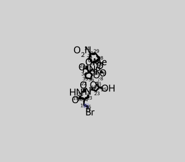 COC(=O)C1(NP(=O)(OC[C@H]2O[C@@H](n3cc(/C=C/Br)c(=O)[nH]c3=O)CC2O)Oc2ccc([N+](=O)[O-])cc2)CCCC1